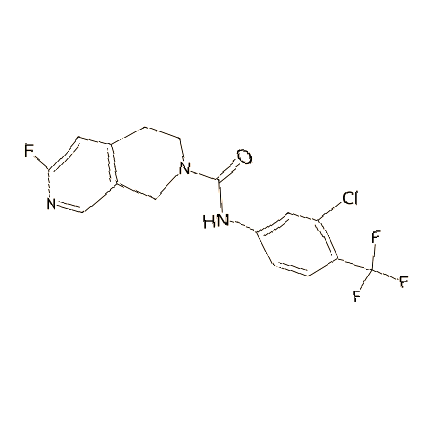 O=C(Nc1ccc(C(F)(F)F)c(Cl)c1)N1CCc2cc(F)ncc2C1